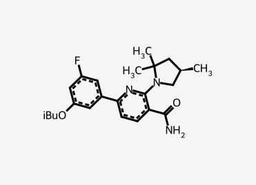 CC(C)COc1cc(F)cc(-c2ccc(C(N)=O)c(N3C[C@H](C)CC3(C)C)n2)c1